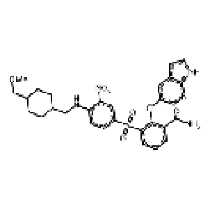 COCC1CCC(CNc2ccc(S(=O)(=O)c3cccc(C(N)=O)c3Oc3cnc4[nH]ccc4c3)cc2[N+](=O)[O-])CC1